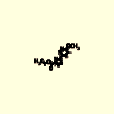 CCOC(=O)c1csc(-c2ccc(OC)nn2)n1